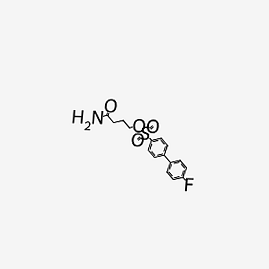 NC(=O)CCCOS(=O)(=O)c1ccc(-c2ccc(F)cc2)cc1